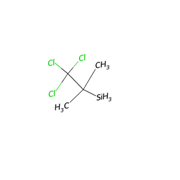 CC(C)([SiH3])C(Cl)(Cl)Cl